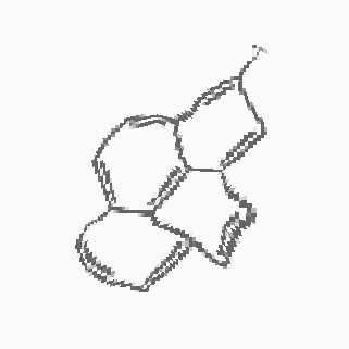 Brc1[c]c2ccc3cccc4ccc(c1)c2c34